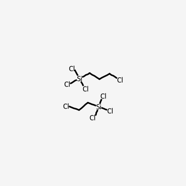 ClCCC[Si](Cl)(Cl)Cl.ClCC[Si](Cl)(Cl)Cl